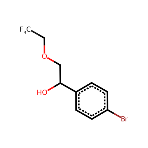 OC(COCC(F)(F)F)c1ccc(Br)cc1